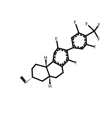 C=C[C@@H]1CC[C@@H]2c3cc(F)c(-c4cc(F)c(C(F)(F)F)c(F)c4)c(F)c3CC[C@@H]2C1